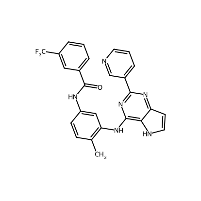 Cc1ccc(NC(=O)c2cccc(C(F)(F)F)c2)cc1Nc1nc(-c2cccnc2)nc2cc[nH]c12